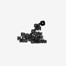 CC[C@@H]1OC(OCCOCCNC(=O)OCc2ccccc2)[C@@H](O[C@H]2O[C@H](COC(C)=O)[C@@H](OC(C)=O)[C@H](OC(=O)NC)[C@@H]2OC(C)=O)[C@@H](OC(C)=O)[C@@H]1C